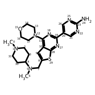 CN1CCC(N(C)Cc2cc3c(N4CCOCC4)nc(-c4cnc(N)nc4)nc3s2)CC1